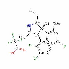 COc1cc(Cl)ccc1[C@@]1(C#N)[C@H](CC(C)(C)C)N[C@H](C(=O)O)[C@@H]1c1cccc(Cl)c1F.O=C(O)C(F)(F)F